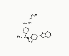 CC(C)CC(c1ccc(C(=O)NCCC(=O)O)cc1)n1ccc2cc(-c3cc4ccccc4s3)ccc21